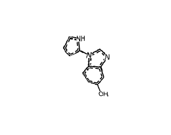 Oc1ccc2c(c1)ncn2-c1ccc[nH]1